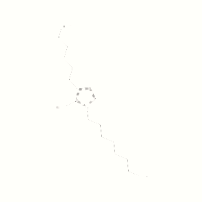 CCCCCCCCCCCCCCCCC[n+]1ccn(CCCCCCCCCCCCCCC)c1CCCCC